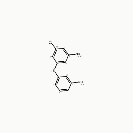 Nc1cccc(Sc2cc(N)cc(Cl)c2)c1